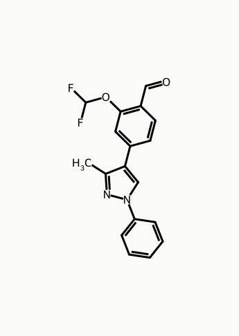 Cc1nn(-c2ccccc2)cc1-c1ccc(C=O)c(OC(F)F)c1